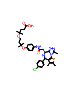 Cc1sc2c(c1C)C(c1ccc(Cl)cc1)=N[C@@H](CC(=O)Nc1ccc(OC(C)(C)CCOC(C)(C)CCC(=O)O)cc1)c1nnc(C)n1-2